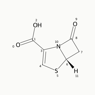 O=C(O)C1=CS[C@H]2CC(=O)N12